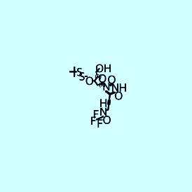 CC(C)(C)SSCOC1C[C@H](n2cc(C#CCNC(=O)C(F)(F)F)c(=O)[nH]c2=O)O[C@@H]1CO